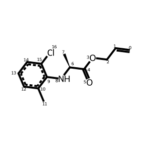 C=CCOC(=O)[C@H](C)Nc1c(C)cccc1Cl